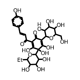 CCC1OC(C2(O)C(O)=C(C(=O)/C=C/c3ccc(O)cc3)C(=O)C(C3OC(CO)C(O)C(O)C3O)=C2O)C(O)C(O)C1O